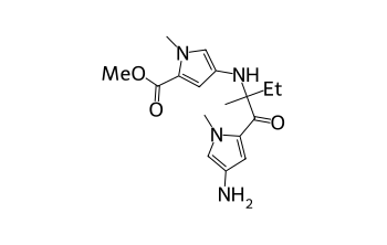 CCC(C)(Nc1cc(C(=O)OC)n(C)c1)C(=O)c1cc(N)cn1C